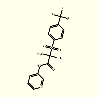 CC(C)(C(=O)Nc1cccnc1)S(=O)(=O)c1ccc(C(F)(F)F)cc1